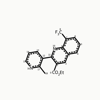 CCOC(=O)c1cc2cccc(C(F)(F)F)c2nc1-c1cccnc1C